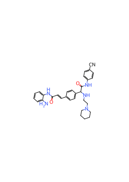 N#Cc1ccc(NC(=O)C(NCCN2CCCCC2)c2ccc(C=CC(=O)Nc3ccccc3N)cc2)cc1